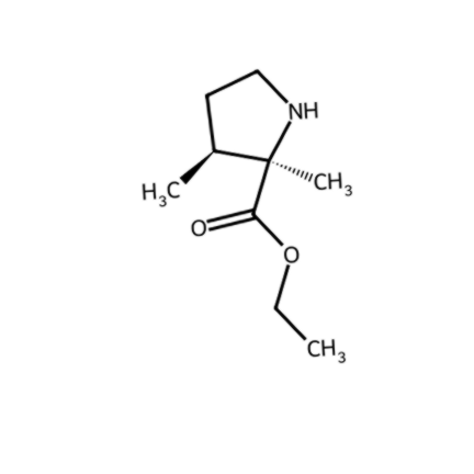 CCOC(=O)[C@]1(C)NCC[C@@H]1C